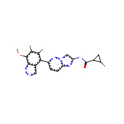 CCOc1c(F)c(Cl)c(-c2ccc3nc(NC(=O)C4CC4F)cn3n2)c2cn[nH]c12